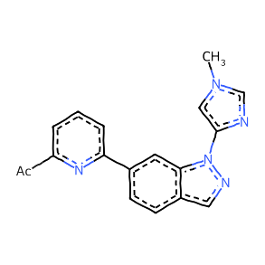 CC(=O)c1cccc(-c2ccc3cnn(-c4cn(C)cn4)c3c2)n1